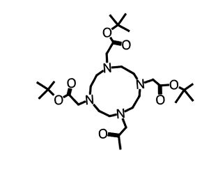 CC(=O)CN1CCN(CC(=O)OC(C)(C)C)CCN(CC(=O)OC(C)(C)C)CCN(CC(=O)OC(C)(C)C)CC1